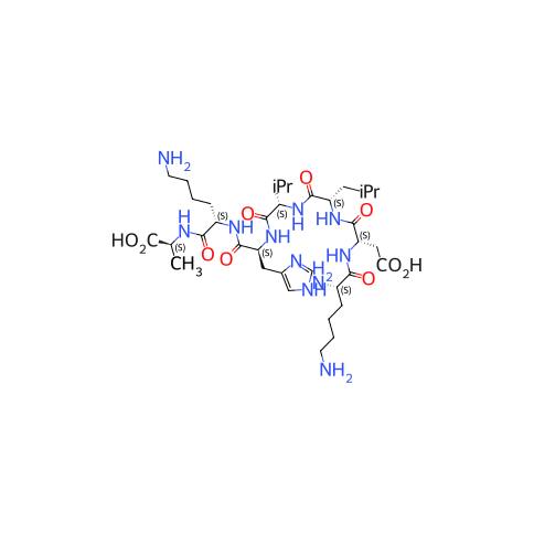 CC(C)C[C@H](NC(=O)[C@H](CC(=O)O)NC(=O)[C@@H](N)CCCCN)C(=O)N[C@H](C(=O)N[C@@H](Cc1c[nH]cn1)C(=O)N[C@@H](CCCCN)C(=O)N[C@@H](C)C(=O)O)C(C)C